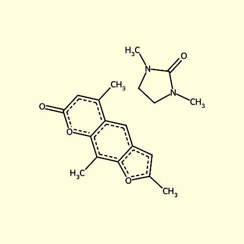 CN1CCN(C)C1=O.Cc1cc2cc3c(C)cc(=O)oc3c(C)c2o1